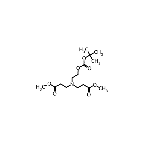 COC(=O)CCN(CCOC(=O)OC(C)(C)C)CCC(=O)OC